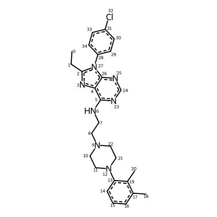 CCc1nc2c(NCCN3CCN(c4cccc(C)c4C)CC3)ncnc2n1-c1ccc(Cl)cc1